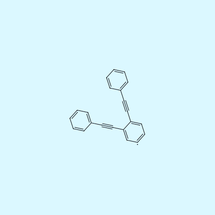 C(#Cc1c[c]ccc1C#Cc1ccccc1)c1ccccc1